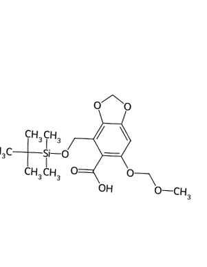 COCOc1cc2c(c(CO[Si](C)(C)C(C)(C)C)c1C(=O)O)OCO2